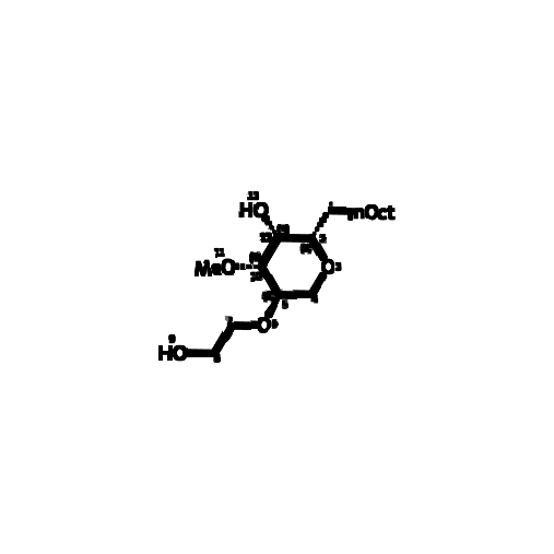 CCCCCCCCC[C@@H]1OC[C@@H](OCCO)[C@H](OC)[C@@H]1O